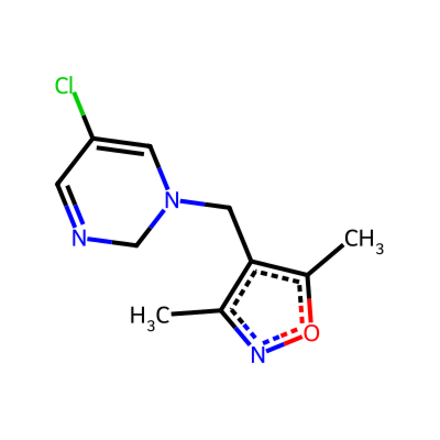 Cc1noc(C)c1CN1C=C(Cl)C=NC1